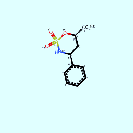 CCOC(=O)[C@H]1C[C@@H](c2ccccc2)NS(=O)(=O)O1